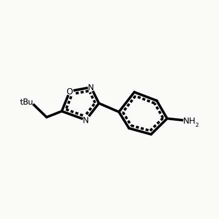 CC(C)(C)Cc1nc(-c2ccc(N)cc2)no1